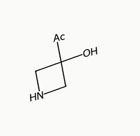 CC(=O)C1(O)CNC1